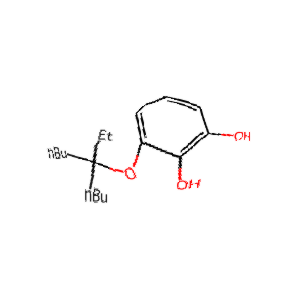 CCCCC(CC)(CCCC)Oc1cccc(O)c1O